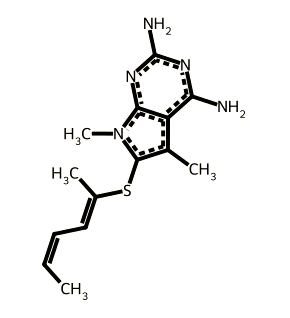 C/C=C\C=C(/C)Sc1c(C)c2c(N)nc(N)nc2n1C